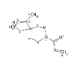 C=CC(=O)N1CCC(CC)(C(C)C)CC1